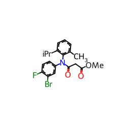 COC(=O)CC(=O)N(c1ccc(F)c(Br)c1)c1c(C)cccc1C(C)C